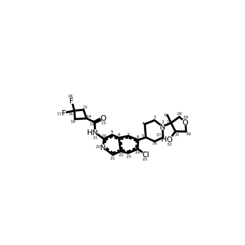 CC1(N2CCC(c3cc4cc(NC(=O)C5CC(F)(F)C5)ncc4cc3Cl)CC2)COCC1O